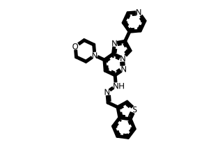 C(=N/Nc1cc(N2CCOCC2)c2nc(-c3ccncc3)cn2n1)/c1csc2ccccc12